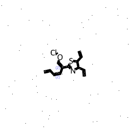 C=C/C=C\C(=C\OCl)C1=NC(C=C)C(C=C)S1